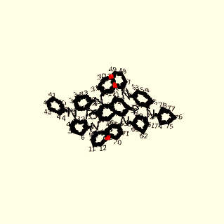 S=P12c3c4cccc3N(c3ccccc3)c3cc5c6c7c(cc5c(c31)N(c1ccccc1)c1cccc(c12)N4c1ccccc1)N(c1ccccc1)c1cccc2c1P7c1c(cccc1N6c1ccccc1)N2c1ccccc1